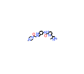 Cc1nn(C)cc1-c1cccc(C(=O)Nc2ccc3nn(CC(=O)N4CCN(C)CC4)cc3c2)n1